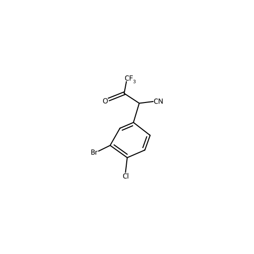 N#CC(C(=O)C(F)(F)F)c1ccc(Cl)c(Br)c1